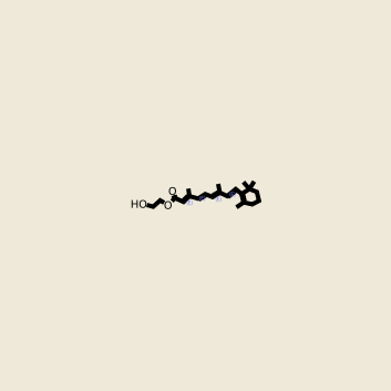 CC1=C(/C=C/C(C)=C/C=C/C(C)=C/C(=O)OCCO)C(C)(C)CCC1